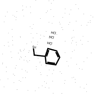 Cl.Cl.Cl.[Sn][CH2]c1ccccc1